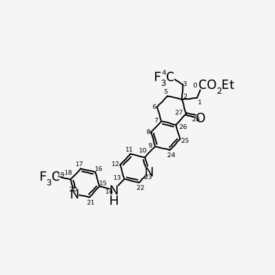 CCOC(=O)CC1(CC(F)(F)F)CCc2cc(-c3ccc(Nc4ccc(C(F)(F)F)nc4)cn3)ccc2C1=O